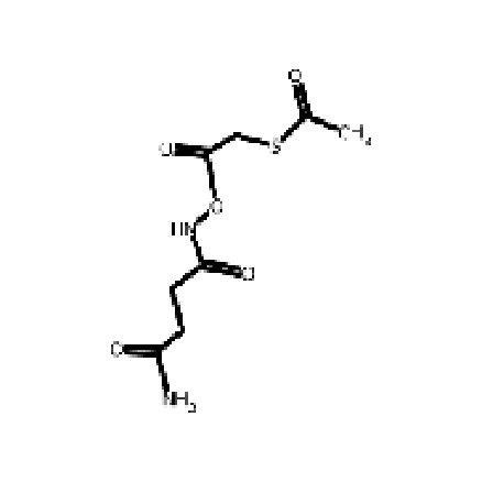 CC(=O)SCC(=O)ONC(=O)CCC(N)=O